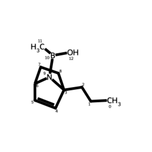 CCCC12C=CC(CC1)N2B(C)O